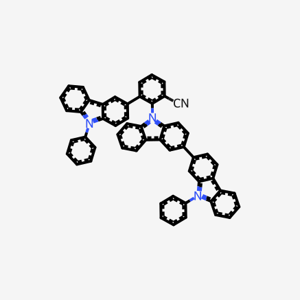 N#Cc1cccc(-c2ccc3c(c2)c2ccccc2n3-c2ccccc2)c1-n1c2ccccc2c2cc(-c3ccc4c5ccccc5n(-c5ccccc5)c4c3)ccc21